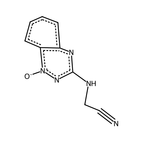 N#CCNc1nc2ccccc2[n+]([O-])n1